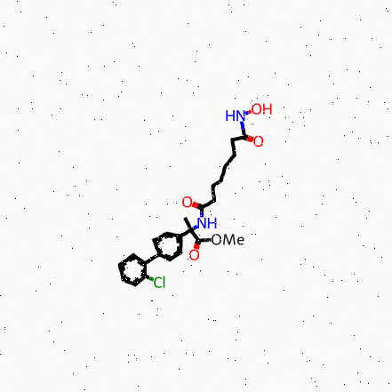 COC(=O)C(C)(NC(=O)CCCCCCC(=O)NO)c1ccc(-c2ccccc2Cl)cc1